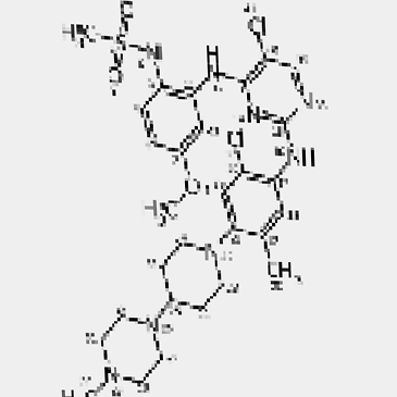 COc1ccc(NS(C)(=O)=O)c(Nc2nc(Nc3cc(C)c(N4CCC(N5CCN(C)CC5)CC4)cc3Cl)ncc2Cl)c1